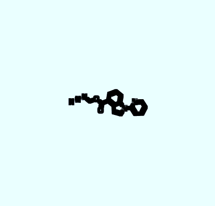 [N-]=[N+]=NCOC(=O)c1cccc2c1ccn2-c1ccccn1